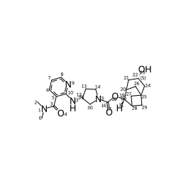 CN(C)C(=O)c1cccnc1N[C@@H]1CCN(C(=O)O[C@@H]2C3C[C@H](O)CC4(C3)CC2C4)C1